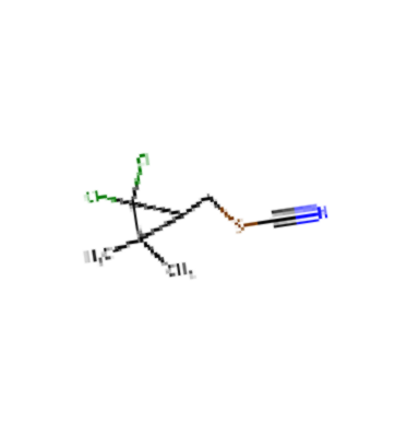 CC1(C)C(CSC#N)C1(Cl)Cl